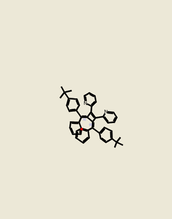 CC(C)(C)c1ccc(/C(=C2C(c3ccccn3)=C(c3ccccn3)C\2=C(\c2ccccc2)c2ccc(C(C)(C)C)cc2)c2ccccc2)cc1